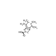 CCC(C)C1C2CC(C(=O)O)C(C2)C1C(C)CC